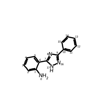 Nc1ccccc1-c1nc(-c2ccccc2)n[nH]1